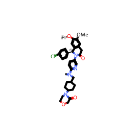 COc1cc2c(cc1OC(C)C)[C@H](c1ccc(Cl)cc1)N(c1ccc(N(C)CC3CCC(N4CCOCC4=O)CC3)nc1)C(=O)C2